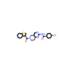 O=C(Nc1ncc2c(n1)CCN(C(=O)c1csc3ccccc13)C2)c1ccc(Cl)cc1